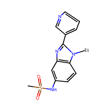 CCn1c(-c2cccnc2)nc2cc(NS(C)(=O)=O)ccc21